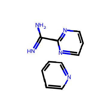 N=C(N)c1ncccn1.c1ccncc1